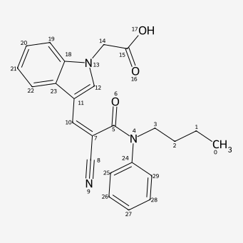 CCCCN(C(=O)C(C#N)=Cc1cn(CC(=O)O)c2ccccc12)c1ccccc1